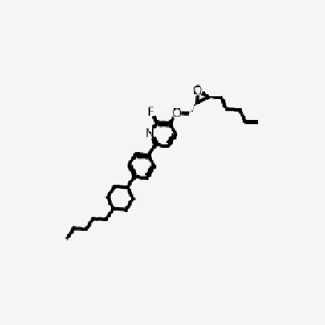 CCCCCC1CCC(c2ccc(-c3ccc(OC[C@@H]4O[C@H]4CCCCC)c(F)n3)cc2)CC1